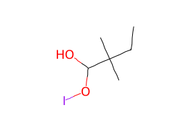 CCC(C)(C)C(O)OI